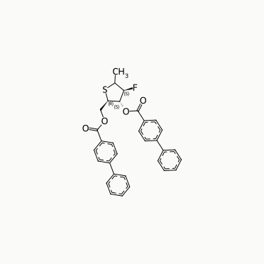 CC1S[C@H](COC(=O)c2ccc(-c3ccccc3)cc2)[C@@H](OC(=O)c2ccc(-c3ccccc3)cc2)[C@@H]1F